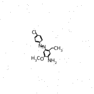 CCc1cc(N)c(OC)cc1N=Nc1ccc(Cl)cc1